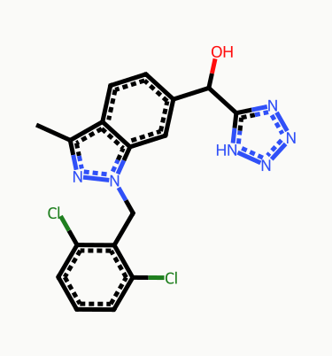 Cc1nn(Cc2c(Cl)cccc2Cl)c2cc(C(O)c3nnn[nH]3)ccc12